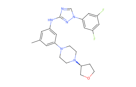 Cc1cc(Nc2ncn(-c3cc(F)cc(F)c3)n2)cc(N2CCN([C@H]3CCOC3)CC2)c1